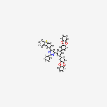 c1ccc(-c2nc(-c3cc(-c4ccc5c(c4)Oc4ccccc4O5)cc(-c4ccc5c(c4)Oc4ccccc4O5)c3)cc(-c3ccc4sc5ccccc5c4c3)n2)cc1